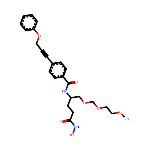 COCCOCOCC(CCC(=O)NO)NC(=O)c1ccc(C#CCOc2ccccc2)cc1